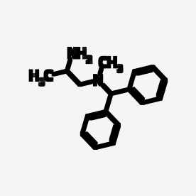 CC(N)CN(C)C(c1ccccc1)c1ccccc1